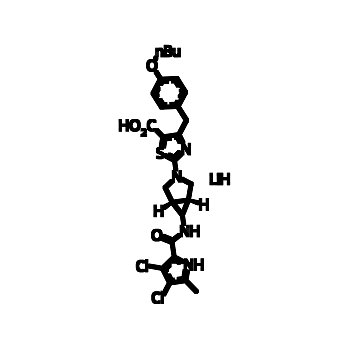 CCCCOc1ccc(Cc2nc(N3C[C@@H]4C(NC(=O)c5[nH]c(C)c(Cl)c5Cl)[C@@H]4C3)sc2C(=O)O)cc1.[LiH]